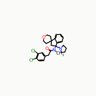 CN(C(=O)Cc1ccc(Cl)c(Cl)c1)[C@@]1(N2CCCC2)CC2(CCOCC2)c2ccccc21